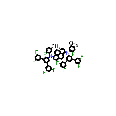 Cc1ccc(F)c(N(c2cc(-c3cc(F)cc(F)c3)cc(-c3cc(F)cc(F)c3)c2)c2ccc3ccc4c(N(c5cc(-c6cc(F)cc(F)c6)cc(-c6cc(F)cc(F)c6)c5)c5cc(C)ccc5F)ccc5ccc2c3c54)c1